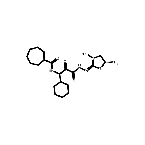 C[C@@H]1CN(C)C(=NNC(=O)C(=O)C(NC(=O)C2CCCCCC2)C2CCCCC2)S1